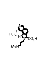 CNCCCN1Nc2c(ccc3cnccc23)C1C(=O)O.Cl.Cl